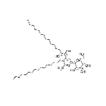 CCCCCCCCCCCCCCCCN(C(N)=O)[C@@H](CO[C@@H]1O[C@H](CO)[C@H](O)[C@H](O)[C@H]1O)[C@H](O)[C@H](O)CCCCCCCCCCCCCC